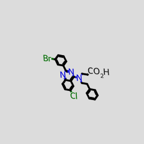 O=C(O)CCN(CCc1ccccc1)c1nc(-c2cccc(Br)c2)nc2ccc(Cl)cc12